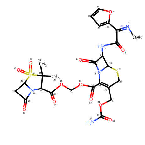 CO/N=C(\C(=O)NC1C(=O)N2C(C(=O)OCOC(=O)C3N4C(=O)CC4S(=O)(=O)C3(C)C)=C(COC(N)=O)CSC12)c1ccco1